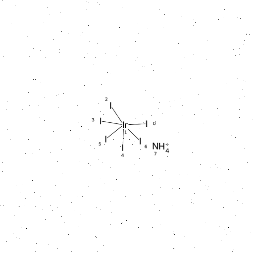 [I][Ir]([I])([I])([I])([I])[I].[NH4+]